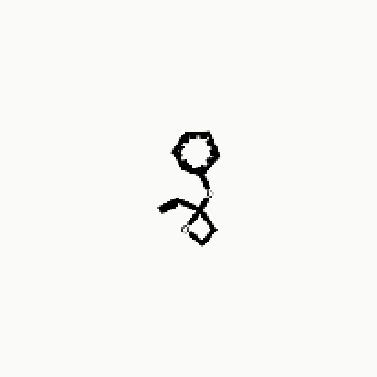 C=CC1(Oc2ccccc2)CCO1